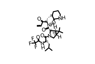 C=CC(=O)[C@H](C[C@@H]1CCCNC1=O)NC(=O)[C@@H]1[C@@H]2[C@H](CN1C(=O)[C@H](CC(C)C)NC(=O)C(F)(F)F)C2(C)C